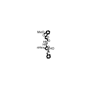 CCCCCC[C@H](CN(C=O)OCc1ccccc1)C(=O)NCNC(=O)c1ccc(-c2ccccc2C(=O)OC)o1